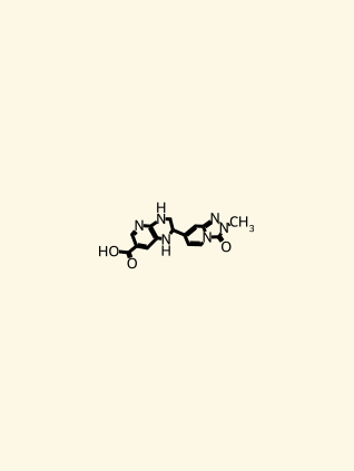 Cn1nc2cc(C3CNc4ncc(C(=O)O)cc4N3)ccn2c1=O